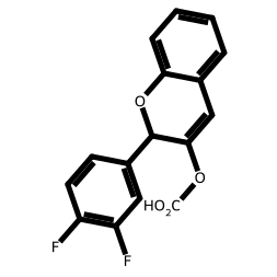 O=C(O)OC1=Cc2ccccc2OC1c1ccc(F)c(F)c1